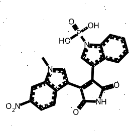 Cn1cc(C2=C(c3cn(P(=O)(O)O)c4ccccc34)C(=O)NC2=O)c2ccc([N+](=O)[O-])cc21